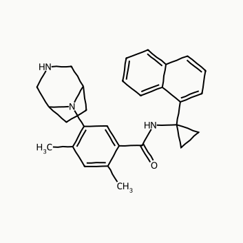 Cc1cc(C)c(N2C3CCC2CNC3)cc1C(=O)NC1(c2cccc3ccccc23)CC1